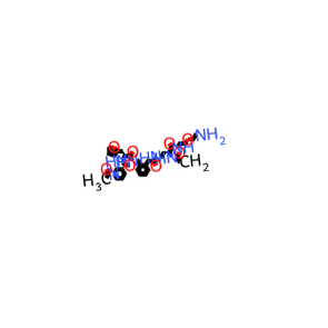 C=CC(=O)N[C@@H](CCNC(=O)Cc1ccccc1CNC(=O)[C@H](Cc1ccco1)NC(=O)[C@@H]1CCCN(C(C)=O)C1)C(=O)NCCOCCN